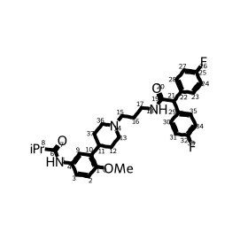 COc1ccc(NC(=O)C(C)C)cc1C1CCN(CCCNC(=O)C(c2ccc(F)cc2)c2ccc(F)cc2)CC1